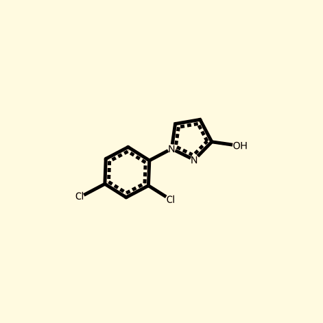 Oc1ccn(-c2ccc(Cl)cc2Cl)n1